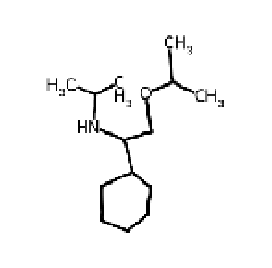 CC(C)NC(COC(C)C)C1CCCCC1